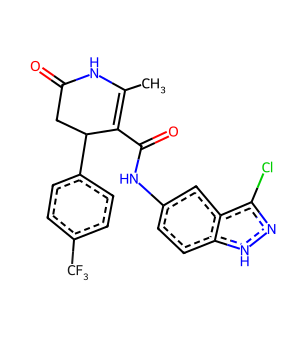 CC1=C(C(=O)Nc2ccc3[nH]nc(Cl)c3c2)C(c2ccc(C(F)(F)F)cc2)CC(=O)N1